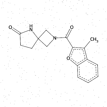 Cc1c(C(=O)N2CC3(CCC(=O)N3)C2)oc2ccccc12